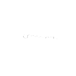 NCCNC(=O)CCCCCCCCCC1CCCCO1